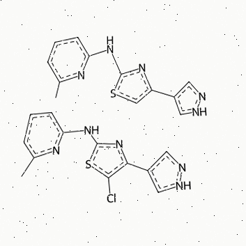 Cc1cccc(Nc2nc(-c3cn[nH]c3)c(Cl)s2)n1.Cc1cccc(Nc2nc(-c3cn[nH]c3)cs2)n1